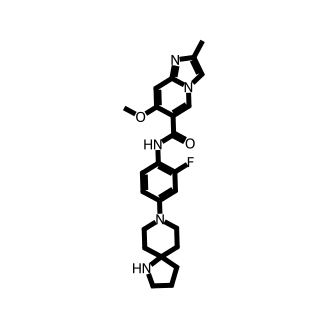 COc1cc2nc(C)cn2cc1C(=O)Nc1ccc(N2CCC3(CCCN3)CC2)cc1F